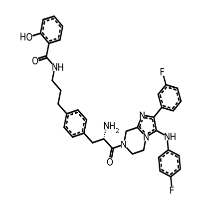 N[C@@H](Cc1ccc(CCCNC(=O)c2ccccc2O)cc1)C(=O)N1CCn2c(nc(-c3cccc(F)c3)c2Nc2ccc(F)cc2)C1